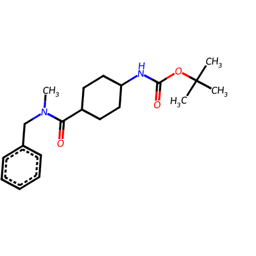 CN(Cc1ccccc1)C(=O)C1CCC(NC(=O)OC(C)(C)C)CC1